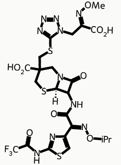 CON=C(Cn1nnnc1SCC1(C(=O)O)CS[C@@H]2C(NC(=O)C(=NOC(C)C)c3csc(NC(=O)C(F)(F)F)n3)C(=O)N2C1)C(=O)O